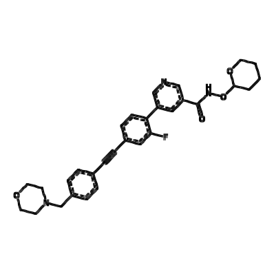 O=C(NOC1CCCCO1)c1cncc(-c2ccc(C#Cc3ccc(CN4CCOCC4)cc3)cc2F)c1